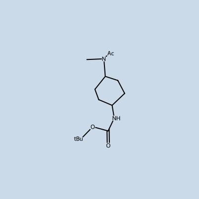 CC(=O)N(C)C1CCC(NC(=O)OC(C)(C)C)CC1